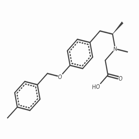 Cc1ccc(COc2ccc(C[C@@H](C)N(C)CC(=O)O)cc2)cc1